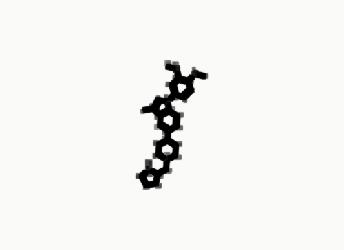 COc1ccc(-n2cc(C)c3cc(C4CCN(CC5CCCN5)CC4)ccc32)cc1OC